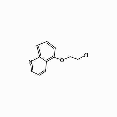 ClCCOc1cccc2ncccc12